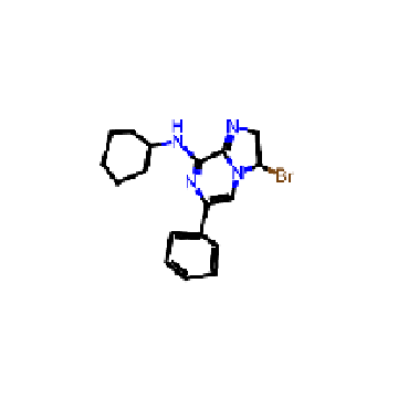 BrC1CN=C2C(NC3CCCCC3)=NC(c3ccccc3)=CN21